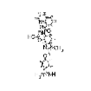 Cn1c(COc2ccc(C(=N)N)cc2)nc2cc(N(CC(=O)O)S(=O)(=O)c3cccc4cccnc34)ccc21